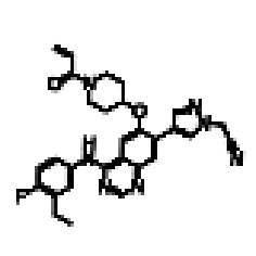 C=CC(=O)N1CCC(Oc2cc3c(Nc4ccc(F)c(CC)c4)ncnc3cc2-c2cnn(CC#N)c2)CC1